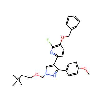 COc1ccc(-c2nn(COCC[Si](C)(C)C)cc2-c2ccc(OCc3ccccc3)c(F)n2)cc1